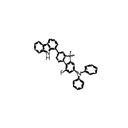 CC1(C)c2cc(-c3cccc4c3[nH]c3ccccc34)ccc2-c2c(F)cc(N(c3ccccc3)c3ccccc3)cc21